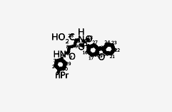 CCCc1ccc(NC(=O)CCC(NS(=O)(=O)c2ccc3oc4ccccc4c3c2)C(=O)O)cc1